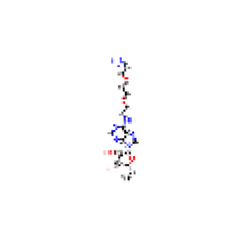 [2H]C[C@H]1O[C@@H](n2cnc3c(NCCOCCOCCN)ncnc32)[C@@H](O)C1O